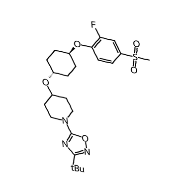 CC(C)(C)c1noc(N2CCC(O[C@H]3CC[C@H](Oc4ccc(S(C)(=O)=O)cc4F)CC3)CC2)n1